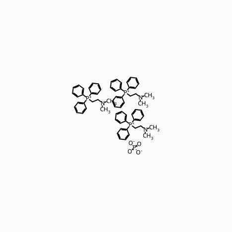 CN(C)CC[P+](c1ccccc1)(c1ccccc1)c1ccccc1.CN(C)CC[P+](c1ccccc1)(c1ccccc1)c1ccccc1.CN(C)CC[P+](c1ccccc1)(c1ccccc1)c1ccccc1.O=P([O-])([O-])[O-]